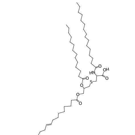 CCC/C=C/CCCCCCCC(=O)OCC(CSCC(NC(=O)CCCCCCCCCCCCCCC)C(=O)O)OC(=O)CCCCCCCCCCCCC